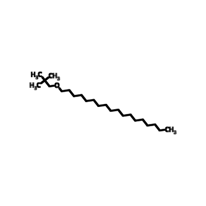 CCCCCCCCCCCCCCCCCCOCC(C)(C)C